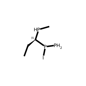 CC[C@@H](PC)P(P)I